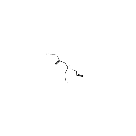 C=CC[C@H](CC(=O)OC(C)C)OCCCC